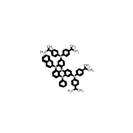 CC(C)c1ccc(N(c2ccc(C(C)C)cc2)c2ccc3c(c2)N(c2ccccc2)c2cccc4c2B3c2ccc(N(c3ccc(C(C)C)cc3)c3ccc(C(C)C)cc3)cc2N4c2ccc3ccccc3c2)cc1